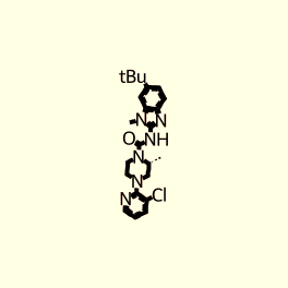 C[C@@H]1CN(c2ncccc2Cl)CCN1C(=O)Nc1nc2ccc(C(C)(C)C)cc2n1C